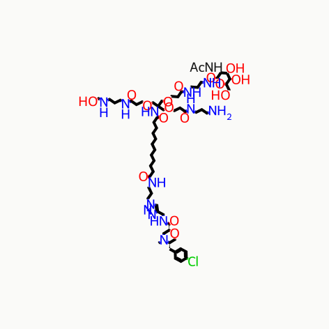 CC(=O)NC1C(O)[C@@H](O)C(CO)O[C@H]1ONCCCNC(=O)CCOCC(COCCC(=O)NCCCN)(COCCC(=O)NCCCNCO)NC(=O)CCCCCCCCCCC(=O)NCCCn1cc(CNC(=O)[C@H]2CN(C)[C@@H](Cc3ccc(Cl)cc3)CO2)nn1